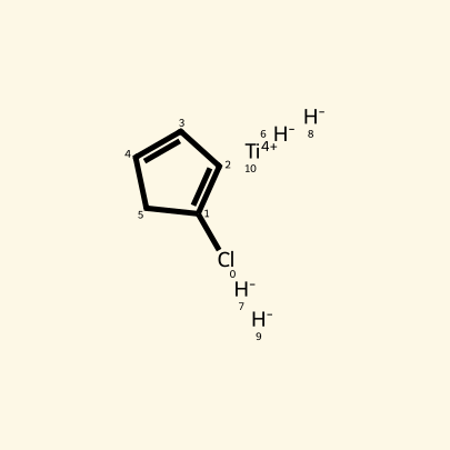 ClC1=CC=CC1.[H-].[H-].[H-].[H-].[Ti+4]